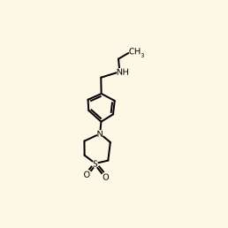 CCNCc1ccc(N2CCS(=O)(=O)CC2)cc1